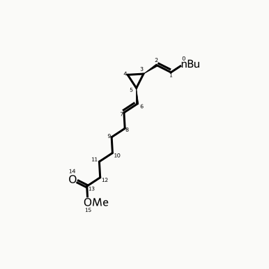 CCCCC=C[C@@H]1C[C@@H]1C=CCCCCCC(=O)OC